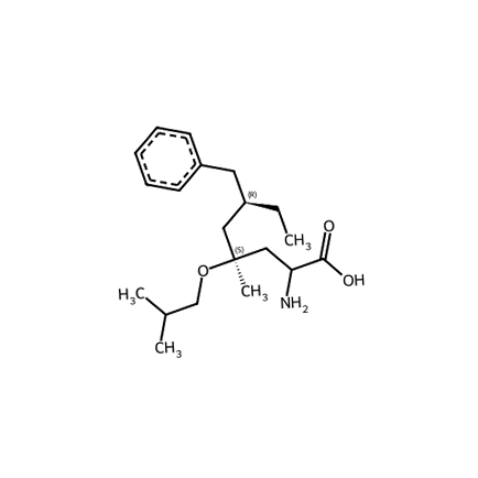 CC[C@H](Cc1ccccc1)C[C@@](C)(CC(N)C(=O)O)OCC(C)C